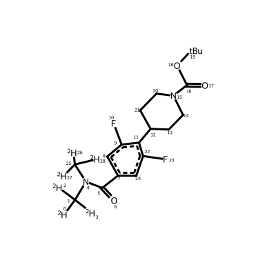 [2H]C([2H])([2H])N(C(=O)c1cc(F)c(C2CCN(C(=O)OC(C)(C)C)CC2)c(F)c1)C([2H])([2H])[2H]